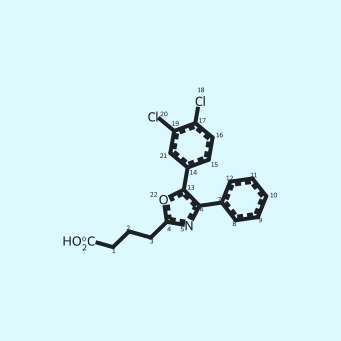 O=C(O)CCCc1nc(-c2ccccc2)c(-c2ccc(Cl)c(Cl)c2)o1